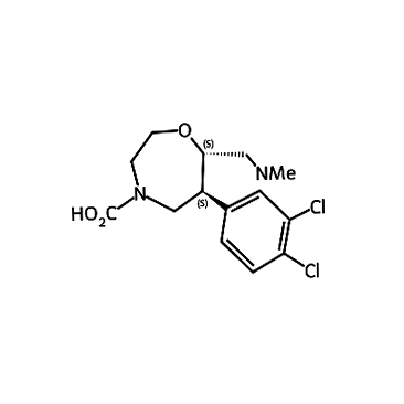 CNC[C@H]1OCCN(C(=O)O)C[C@@H]1c1ccc(Cl)c(Cl)c1